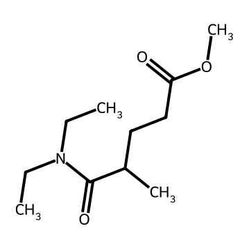 CCN(CC)C(=O)C(C)CCC(=O)OC